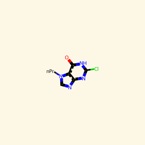 CCCn1cnc2nc(Cl)[nH]c(=O)c21